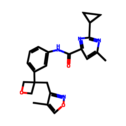 Cc1cc(C(=O)Nc2cccc(C3(Cc4nocc4C)COC3)c2)nc(C2CC2)n1